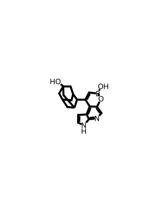 OB1C=C(C2C3CC4CC2CC(O)(C4)C3)c2c(cnc3[nH]ccc23)O1